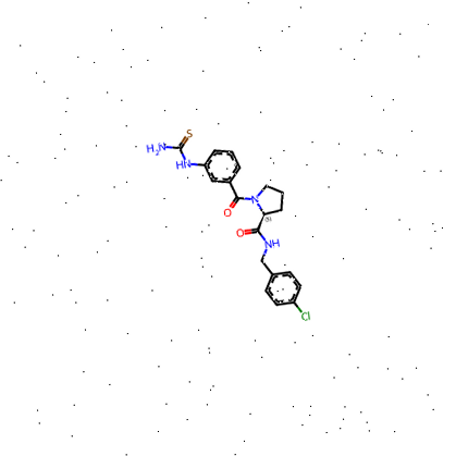 NC(=S)Nc1cccc(C(=O)N2CCC[C@H]2C(=O)NCc2ccc(Cl)cc2)c1